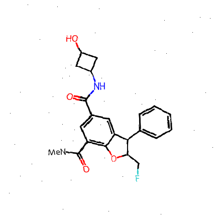 CNC(=O)c1cc(C(=O)NC2CC(O)C2)cc2c1OC(CF)C2c1ccccc1